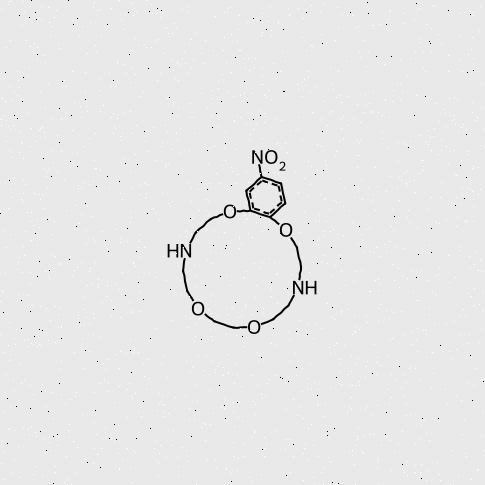 O=[N+]([O-])c1ccc2c(c1)OCCNCCOCCOCCNCCO2